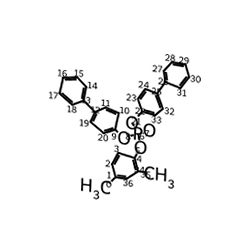 Cc1ccc(OP(=O)(Oc2ccc(-c3ccccc3)cc2)Oc2ccc(-c3ccccc3)cc2)c(C)c1